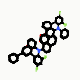 Fc1cc(F)c(N(c2ccccc2)c2ccc3ccc4c(N(c5ccccc5)c5c(F)cc(F)cc5-c5cccc(-c6ccccc6)c5)ccc5ccc2c3c54)c(-c2cccc(-c3ccccc3)c2)c1